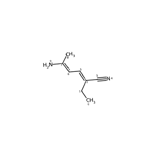 CC/C(C#N)=C\C=C(/C)N